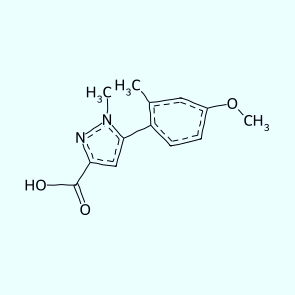 COc1ccc(-c2cc(C(=O)O)nn2C)c(C)c1